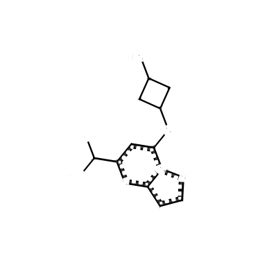 CC(C)c1cc(NC2CC(N)C2)n2nccc2n1